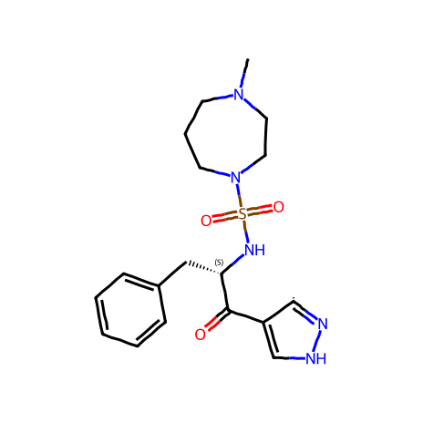 CN1CCCN(S(=O)(=O)N[C@@H](Cc2ccccc2)C(=O)c2[c]n[nH]c2)CC1